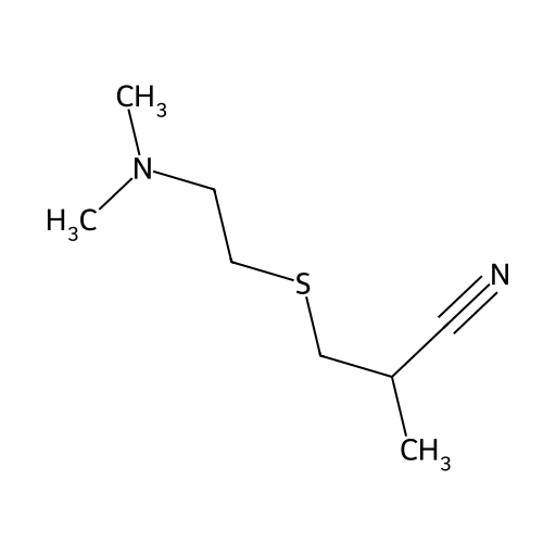 CC(C#N)CSCCN(C)C